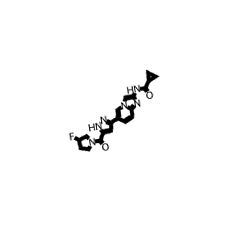 O=C(Nc1cn2cc(-c3cc(C(=O)N4CCC(F)C4)[nH]n3)ccc2n1)C1CC1